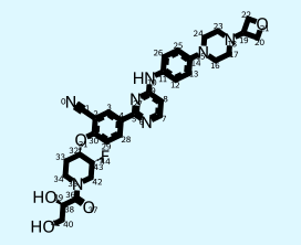 N#Cc1cc(-c2nccc(Nc3ccc(N4CCN(C5COC5)CC4)cc3)n2)ccc1O[C@H]1CCN(C(=O)[C@H](O)CO)C[C@H]1F